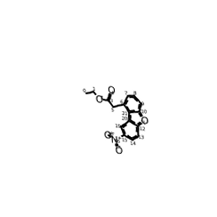 CCOC(=O)Cc1cccc2oc3ccc([N+](=O)[O-])cc3c12